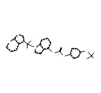 [2H]C([2H])([2H])Oc1ccc(NC(=O)Nc2cccc3c2ccn3C([2H])([2H])c2c[nH]c3ncccc23)cc1